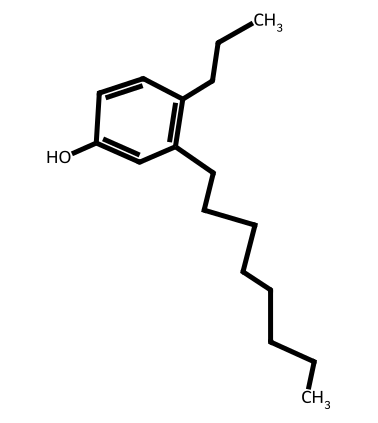 CCCCCCCCc1cc(O)ccc1CCC